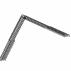 [Co].[Co].[Co].[Co].[Co].[Co].[Co].[Co].[Co].[Co].[Co].[Co].[Co].[Co].[Co].[Co].[Co].[Co].[Co].[Co].[Co].[Co].[Co].[Co].[Co].[Co].[Co].[Co].[Co].[Co].[Co].[Co].[Co].[Sm].[Sm].[Sm].[Sm].[Sm].[Sm].[Sm].[Sm].[Sm].[Sm].[Sm].[Sm].[Sm].[Sm].[Sm].[Sm].[Sm].[Sm].[Sm].[Sm].[Sm].[Sm].[Sm].[Sm].[Sm].[Sm].[Sm].[Sm]